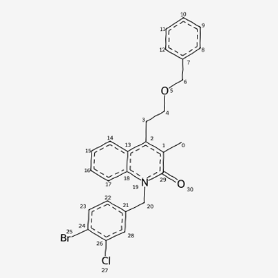 Cc1c(CCOCc2ccccc2)c2ccccc2n(Cc2ccc(Br)c(Cl)c2)c1=O